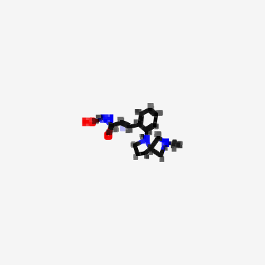 CC(=O)N1CC2(CCCN2c2ccccc2/C=C/C(=O)NO)C1